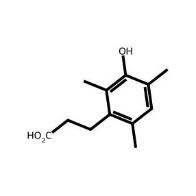 Cc1cc(C)c(CCC(=O)O)c(C)c1O